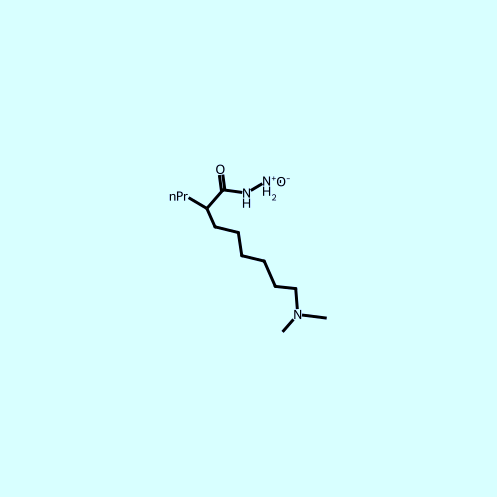 CCCC(CCCCCCN(C)C)C(=O)N[NH2+][O-]